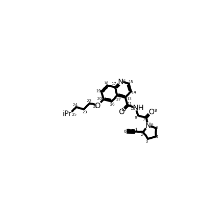 C#CC1CCCN1C(=O)CNC(=O)c1ccnc2ccc(OCCCC(C)C)cc12